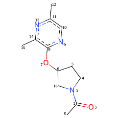 CC(=O)N1CCC(Oc2ncc(C)nc2C)C1